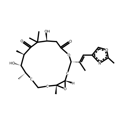 C/C(=C\c1coc(C)n1)[C@@H]1C[C@@H]2O[C@]2(C)CCC[C@H](C)[C@H](O)[C@@H](C)C(=O)C(C)(C)[C@@H](O)CC(=O)O1